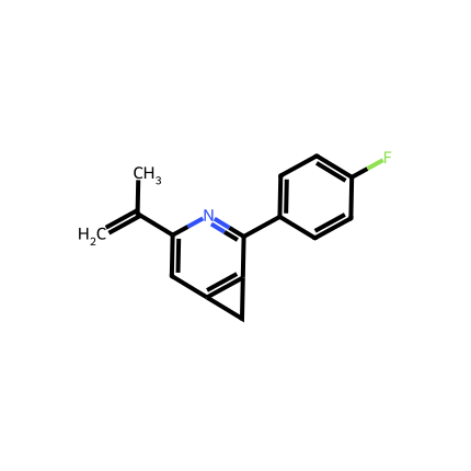 C=C(C)c1cc2c(c(-c3ccc(F)cc3)n1)C2